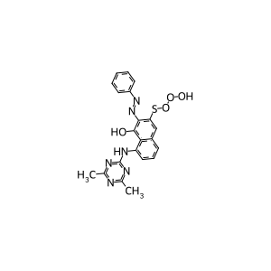 Cc1nc(C)nc(Nc2cccc3cc(SOOO)c(N=Nc4ccccc4)c(O)c23)n1